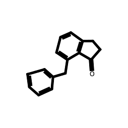 O=C1CCc2cccc(Cc3ccccc3)c21